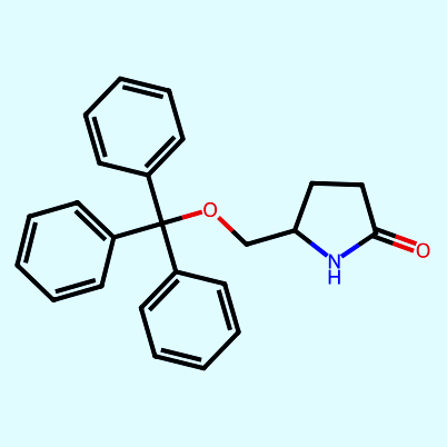 O=C1CCC(COC(c2ccccc2)(c2ccccc2)c2ccccc2)N1